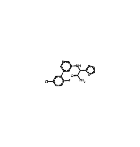 NC(=O)C(Nc1cncc(-c2cc(Cl)ccc2F)c1)c1cccs1